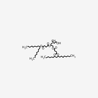 CCCCCCCCC(CCCCCCCC)OC(=O)CCC(=O)OCC(CN(C)CCO)OC(=O)CCC(=O)OC(CCCCCCCC)CCCCCCCC